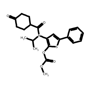 COC(=O)Oc1sc(-c2ccccc2)cc1N(C(=O)C1CCC(=O)CC1)C(C)C